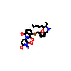 CCCCCCC(CC)N(C)Cc1ccc(CSc2cccc3c2C(=O)N(C2CCC(=O)N(I)C2=O)C3=O)o1